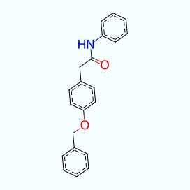 O=C(Cc1ccc(OCc2ccccc2)cc1)Nc1ccccc1